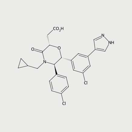 O=C(O)C[C@@H]1O[C@H](c2cc(Cl)cc(-c3cn[nH]c3)c2)[C@@H](c2ccc(Cl)cc2)N(CC2CC2)C1=O